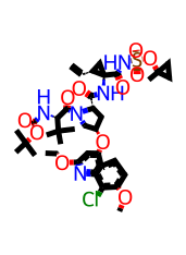 C=C[C@@H]1C[C@]1(NC(=O)[C@@H]1C[C@@H](Oc2cc(OCC)nc3c(Cl)c(OC)ccc23)CN1C(=O)[C@@H](NC(=O)OC(C)(C)C)C(C)(C)C)C(=O)NS(=O)(=O)OC1(C)CC1